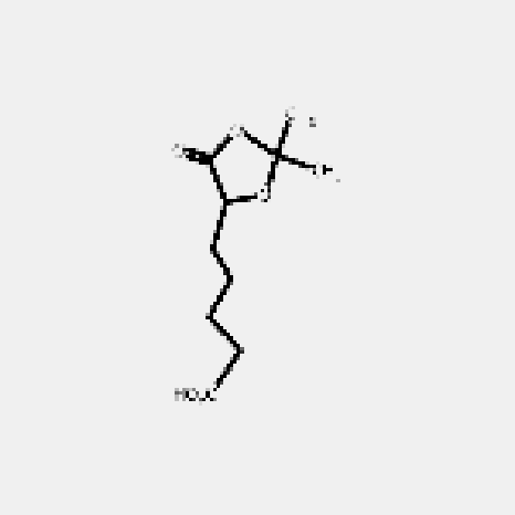 CC1(C)OC(=O)C(CCCCC(=O)O)O1